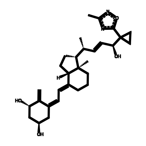 C=C1/C(=C\C=C2/CCC[C@]3(C)[C@@H]([C@H](C)/C=C/[C@H](O)C4(c5nc(C)no5)CC4)CC[C@@H]23)C[C@@H](O)C[C@@H]1O